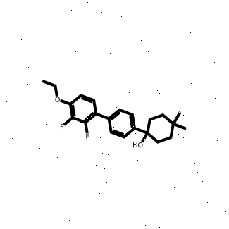 CCOc1ccc(-c2ccc(C3(O)CCC(C)(C)CC3)cc2)c(F)c1F